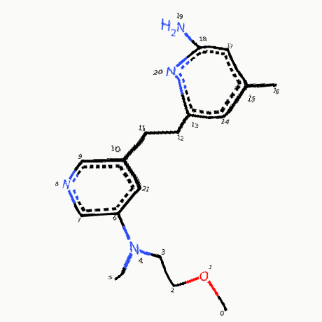 COCCN(C)c1cncc(CCc2cc(C)cc(N)n2)c1